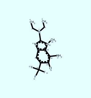 CCN(CC)c1nc2cc(C(F)(F)F)c(Cl)c(N)c2n1C